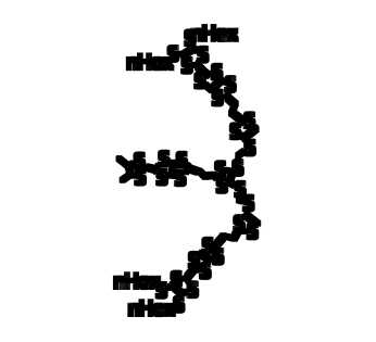 CCCCCCSC1=C(SCCCCCC)SC(=C2SC3=C(SC(=CC=C4SC=C(SCSC5=C(SCSC6=CSC(=CC=C7SC8=C(S7)SC(=C7SC(SCCCCCC)=C(SCCCCCC)S7)S8)S6)SC(=CC=C6SC7=C(S6)SC(=C6SC(C)=C(C)S6)S7)S5)S4)S3)S2)S1